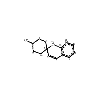 FC1CCC2(C=Cc3cccnc3O2)CC1